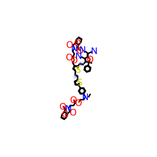 CCN(CCOC(=O)CCN1C(=O)C2C3C=CC(O3)C2C1=O)c1ccc(-c2ccc(/C=C/c3cc(COC(=O)CCN4C(=O)C5C6C=CC(O6)C5C4=O)c(/C=C/C4=C(C#N)C(=C(C#N)C#N)OC4(C)c4ccccc4)s3)s2)cc1